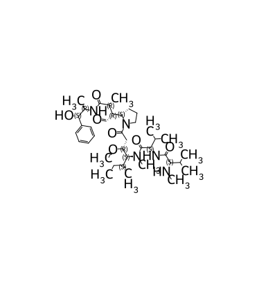 CC[C@H](C)[C@@H]([C@@H](CC(=O)N1CCC[C@H]1[C@H](C=O)[C@@H](C)C(=O)N[C@H](C)[C@@H](O)c1ccccc1)OC)N(C)C(=O)[C@@H](NC(=O)[C@@H](NC)C(C)C)C(C)C